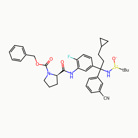 CC(C)(C)[S+]([O-])NC(CCC1CC1)(c1cccc(C#N)c1)c1ccc(F)c(NC(=O)[C@H]2CCCN2C(=O)OCc2ccccc2)c1